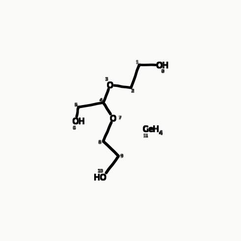 OCCOC(CO)OCCO.[GeH4]